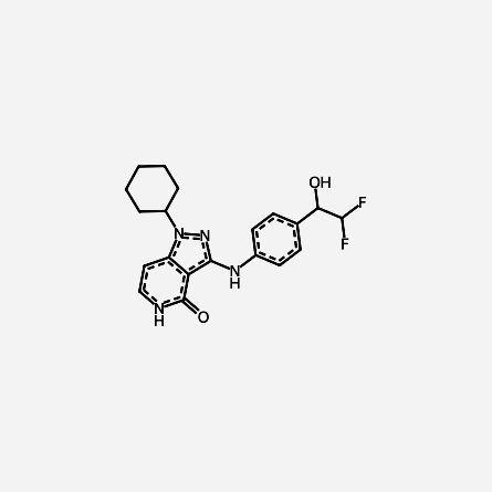 O=c1[nH]ccc2c1c(Nc1ccc(C(O)C(F)F)cc1)nn2C1CCCCC1